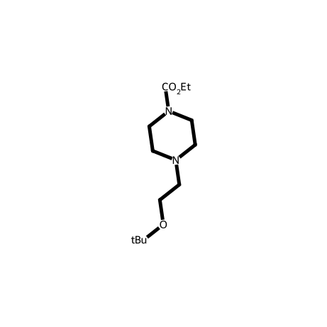 CCOC(=O)N1CCN(CCOC(C)(C)C)CC1